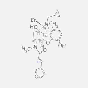 CC[C@H]1N(CC2CC2)CC[C@]23c4c(C)ccc(O)c4O[C@H]2[C@H](N(C)C(=O)/C=C/c2ccoc2)CC[C@@]13O